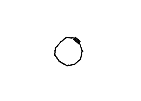 C1#CCCCCCCCC[CH]1